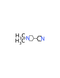 CC(C)N1CCC(c2ccncc2)CC1